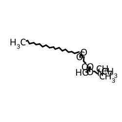 CCCCCCCCCCCCCCCCCCS(=O)(=O)CCCOP(=O)(O)OCC[N+](C)(C)C